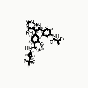 C=C(F)C(=O)Nc1ccc(-c2nn3ncnc(N)c3c2-c2ccc(C(=O)NC34CC(C(F)(F)F)(C3)C4)c(OC)c2)cc1